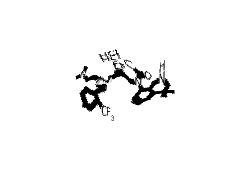 CN(C)CCN(Cc1ccccc1C(F)(F)F)C(=O)CN(C(=O)C(F)(F)F)c1cccc2c1CNCC2(C)C.Cl.Cl